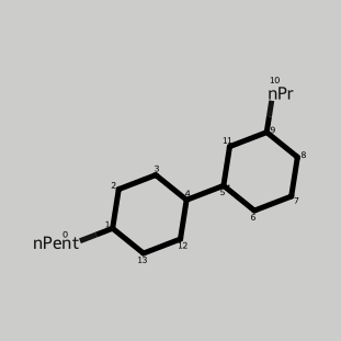 CCCCCC1CCC([C]2CCCC(CCC)C2)CC1